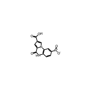 O=C(O)c1cc2c(=O)[nH]c3ccc([N+](=O)[O-])cc3n2c1